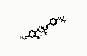 Cc1ccc(C(=O)NS(=O)(=O)C=Cc2ccc(OC(F)(F)F)cc2)c(Br)c1